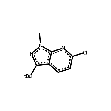 Cn1nc(C(C)(C)C)c2ccc(Cl)nc21